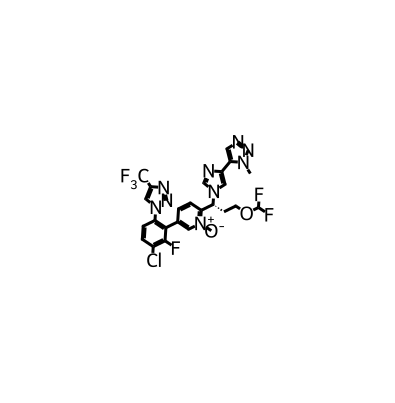 Cn1nncc1-c1cn([C@H](CCOC(F)F)c2ccc(-c3c(-n4cc(C(F)(F)F)nn4)ccc(Cl)c3F)c[n+]2[O-])cn1